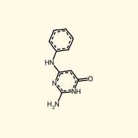 Nc1nc(Nc2ccccc2)cc(=O)[nH]1